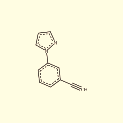 C#Cc1cccc(-n2cccn2)c1